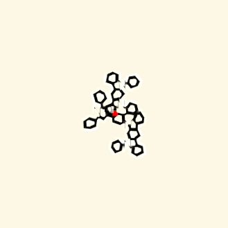 c1ccc(-c2cc(-c3ccc(-n4c5ccccc5c5cc6c7ccccc7n(-c7ccccc7)c6cc54)c(-c4ccccc4-n4c5ccccc5c5cc6c7ccccc7n(-c7ccccc7)c6cc54)c3)nc(-c3ccccc3)n2)cc1